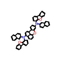 c1ccc2cc(N(c3ccc4c(c3)Oc3cccc5c(N(c6ccc7ccccc7c6)c6cccc7c6oc6ccccc67)ccc-4c35)c3cccc4c3oc3ccccc34)ccc2c1